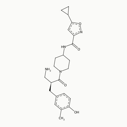 Cc1cc(C[C@@H](CN)C(=O)N2CCC(NC(=O)c3cc(C4CC4)on3)CC2)ccc1O